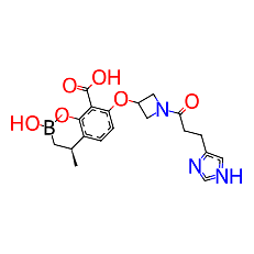 C[C@H]1CB(O)Oc2c1ccc(OC1CN(C(=O)CCc3c[nH]cn3)C1)c2C(=O)O